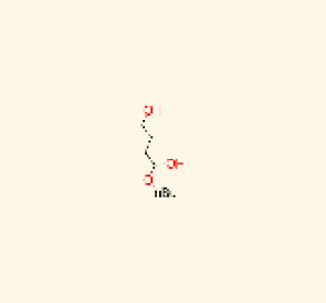 CCCCOC(O)CCCO